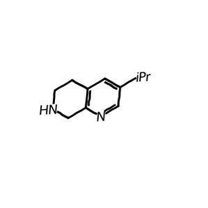 CC(C)c1cnc2c(c1)CCNC2